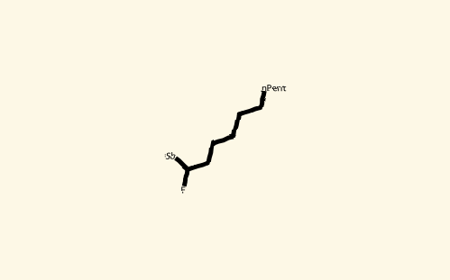 CCCCCCCCCC[CH](F)[Sb]